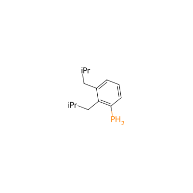 CC(C)Cc1cccc(P)c1CC(C)C